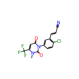 Cn1c(C(F)(F)F)cc(=O)n(-c2ccc(Cl)c(/C=C/C#N)c2)c1=O